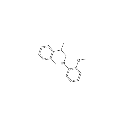 COc1ccccc1NCC(C)c1ccccc1C